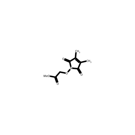 COC(=O)CO[N+]1C(=O)C(C)=C(C)C1=O